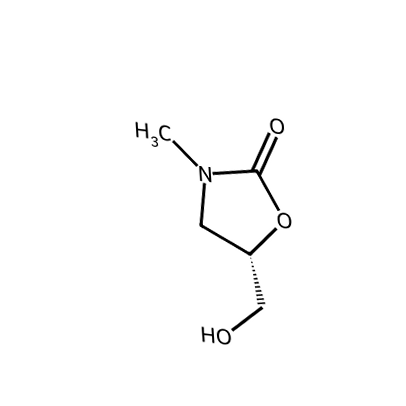 CN1C[C@@H](CO)OC1=O